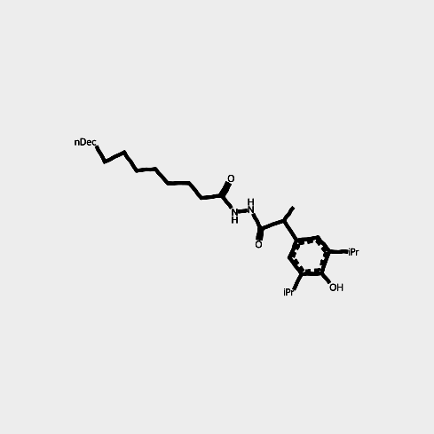 CCCCCCCCCCCCCCCCCC(=O)NNC(=O)C(C)c1cc(C(C)C)c(O)c(C(C)C)c1